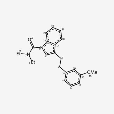 CCN(CC)C(=O)n1cc(CCc2cccc(OC)c2)c2ccccc21